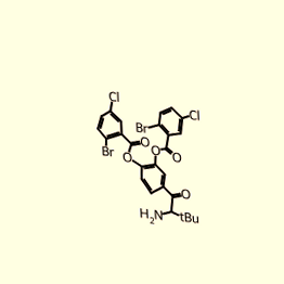 CC(C)(C)C(N)C(=O)c1ccc(OC(=O)c2cc(Cl)ccc2Br)c(OC(=O)c2cc(Cl)ccc2Br)c1